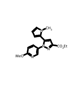 CCOC(=O)c1cc(-c2cccn2C)n(-c2ccc(OC)nc2)n1